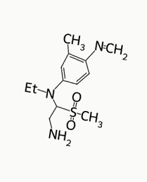 C=Nc1ccc(N(CC)C(CN)S(C)(=O)=O)cc1C